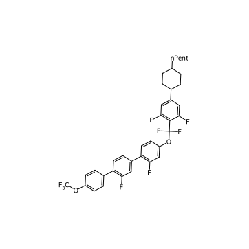 CCCCCC1CCC(c2cc(F)c(C(F)(F)Oc3ccc(-c4ccc(-c5ccc(OC(F)(F)F)cc5)c(F)c4)c(F)c3)c(F)c2)CC1